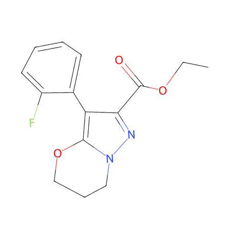 CCOC(=O)c1nn2c(c1-c1ccccc1F)OCCC2